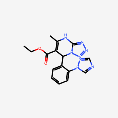 CCOC(=O)C1=C(C)Nc2nnnn2C1c1ccccc1-n1cncn1